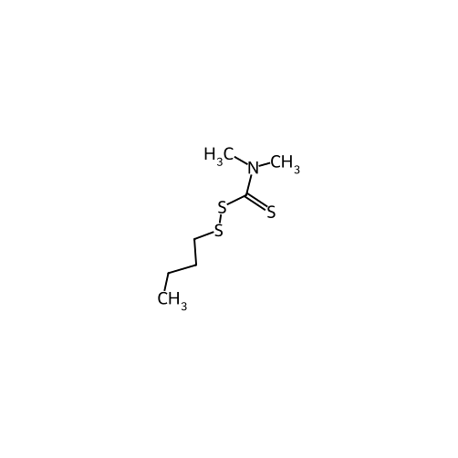 CCCCSSC(=S)N(C)C